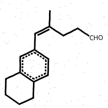 C/C(=C/c1ccc2c(c1)CCCC2)CCC=O